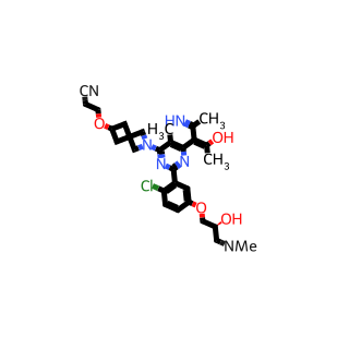 CNC[C@@H](O)COc1ccc(Cl)c(-c2nc(/C(C(C)=N)=C(\C)O)c(C)c(N3CC4(CC(OCCC#N)C4)C3)n2)c1